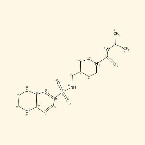 O=C(OC(C(F)(F)F)C(F)(F)F)N1CCC(CNS(=O)(=O)c2ccc3c(c2)OCCO3)CC1